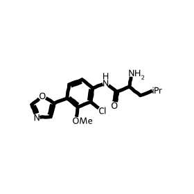 COc1c(-c2cnco2)ccc(NC(=O)C(N)CC(C)C)c1Cl